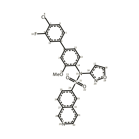 COc1cc(-c2ccc(Cl)c(F)c2)ccc1N(c1ccon1)S(=O)(=O)c1ccc2cnccc2c1